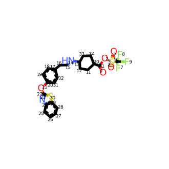 O=C(OS(=O)(=O)C(F)(F)F)C1CCC(NCCc2ccc(Oc3nc4ccccc4s3)cc2)CC1